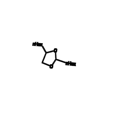 CCCCCCC1COC(CCCCCC)O1